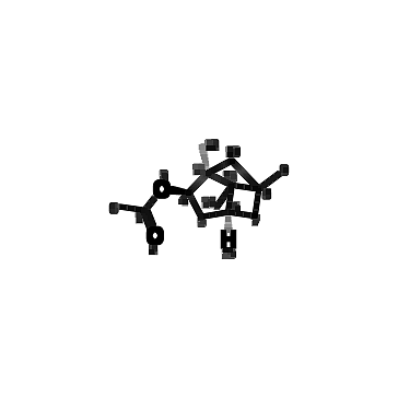 CC(=O)O[C@@H]1C[C@@H]2CC3(C)C[C@@]1(C)C23C